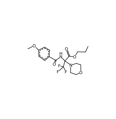 CCCOC(=O)C(NC(=O)c1ccc(OC)cc1)(N1CCOCC1)C(F)(F)F